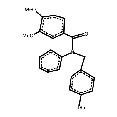 COc1ccc(C(=O)N(Cc2ccc(C(C)(C)C)cc2)c2ccccc2)cc1OC